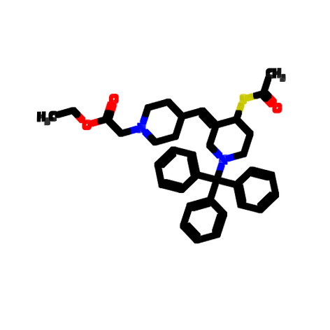 CCOC(=O)CN1CCC(C=C2CN(C(c3ccccc3)(c3ccccc3)c3ccccc3)CCC2SC(C)=O)CC1